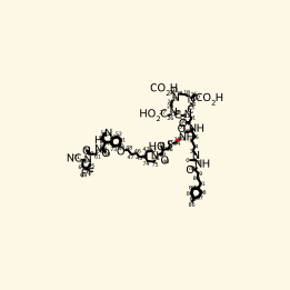 C/C(=N\CCCCC(NC(=O)CN1CCN(CC(=O)O)CCN(CC(=O)O)CCN(CC(=O)O)CC1)C(=O)NCCSCC(O)C(=O)N1CCC(CCCCOc2ccc3nccc(C(=O)NCC(=O)N4CC(F)(F)C[C@@H]4C#N)c3c2)CC1)NC(=O)CCCc1ccc(C)cc1